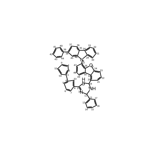 c1ccc(-c2cccc(C3=NC(c4ccccc4)NC(c4cccc5oc6c(-n7c8ccccc8c8ccc(-c9ccccc9)cc87)cccc6c45)N3)c2)cc1